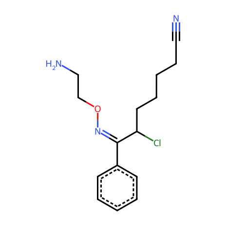 N#CCCCCC(Cl)C(=NOCCN)c1ccccc1